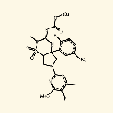 COc1nc(N2CC3C(c4cc([N+](=O)[O-])ccc4F)(C2)N/C(=N\C(=O)OC(C)(C)C)N(C)S3(=O)=O)nc(C)c1F